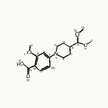 COc1cc(N2CCC(C(OC)OC)CC2)ccc1C(=O)O